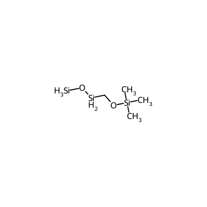 C[Si](C)(C)OC[SiH2]O[SiH3]